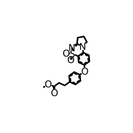 COC(=O)CCc1ccc(Oc2ccc3c(c2)S(=O)(=O)N=C2CCCN23)cc1